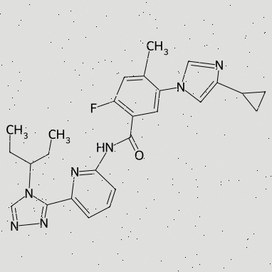 CCC(CC)n1cnnc1-c1cccc(NC(=O)c2cc(-n3cnc(C4CC4)c3)c(C)cc2F)n1